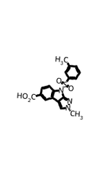 Cc1cccc(S(=O)(=O)n2c3ccc(C(=O)O)cc3c3cn(C)nc32)c1